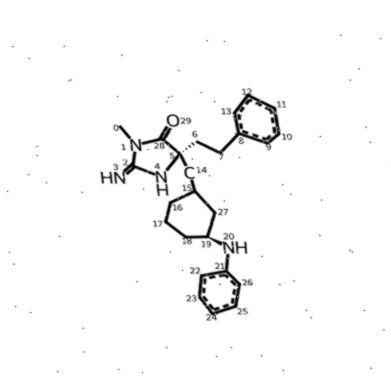 CN1C(=N)N[C@](CCc2ccccc2)(CC2CCC[C@H](Nc3ccccc3)C2)C1=O